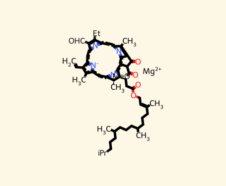 C=Cc1c(C)c2cc3[n-]c(c4c5nc(cc6nc(cc1[n-]2)C(C=O)=C6CC)C(C)=C5C(=O)C4C(=O)OC)[C@@H](CCC(=O)OC/C=C(\C)CCCC(C)CCCC(C)CCCC(C)C)[C@@H]3C.[Mg+2]